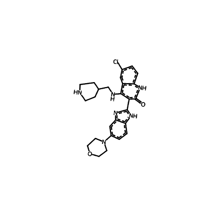 O=c1[nH]c2ccc(Cl)cc2c(NCC2CCNCC2)c1-c1nc2cc(N3CCOCC3)ccc2[nH]1